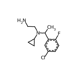 CC(c1cc(Cl)ccc1F)N(CCN)C1CC1